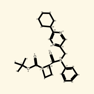 CC(C)(C)OC(=O)N1CC[C@@H]1C(=O)N(Cc1cnc(C2CCCCC2)cn1)c1ccccc1